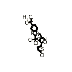 COC(=O)c1ccc2c(c1)nc(C(Cl)(Cl)Cl)n2Cc1cc(-c2ccc(Cl)s2)on1